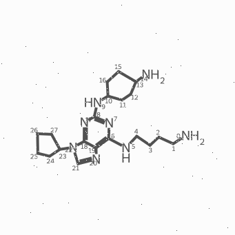 NCCCCNc1nc(NC2CCC(N)CC2)nc2c1ncn2C1CCCC1